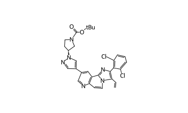 C=Cc1c(-c2c(Cl)cccc2Cl)nc2c3cc(-c4cnn([C@H]5CCN(C(=O)OC(C)(C)C)C5)c4)cnc3ccn12